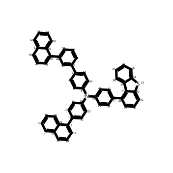 c1cc(-c2ccc(N(c3ccc(-c4cccc5ccccc45)cc3)c3ccc(-c4cccc5sc6ccccc6c45)cc3)cc2)cc(-c2cccc3ccccc23)c1